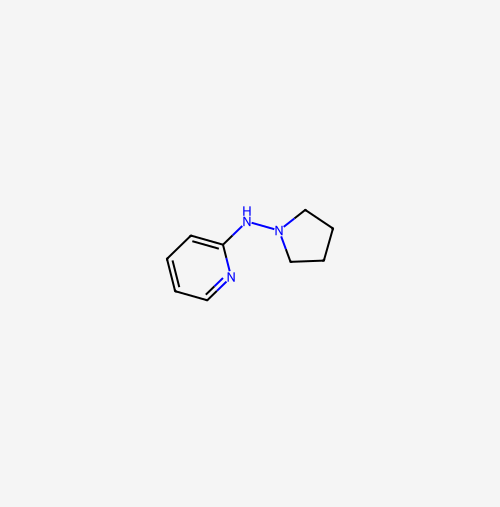 c1ccc(NN2CCCC2)nc1